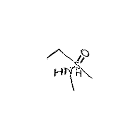 CC[SH](C)(=O)NC